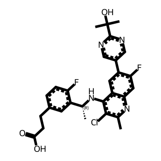 Cc1nc2cc(F)c(-c3cnc(C(C)(C)O)nc3)cc2c(N[C@H](C)c2cc(CCC(=O)O)ccc2F)c1Cl